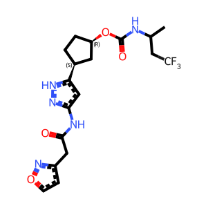 CC(CC(F)(F)F)NC(=O)O[C@@H]1CC[C@H](c2cc(NC(=O)Cc3ccon3)n[nH]2)C1